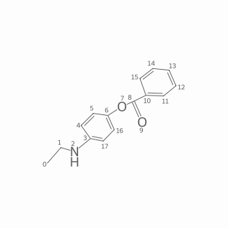 CCNc1ccc(OC(=O)c2ccccc2)cc1